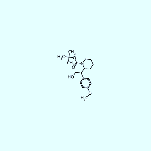 COc1ccc([C@@H](CO)[C@H]2CCCCN2C(=O)OC(C)(C)C)cc1